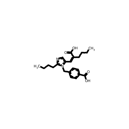 CCCCC(=Cc1cnc(CCCC)n1Cc1ccc(C(=O)O)cc1)C(=O)O